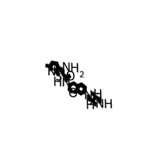 Cc1ccc2c(N)c(C(=O)N[C@@H]3COc4cc(N5C[C@H]6CNC[C@@H]6C5)ccc4C3)sc2n1